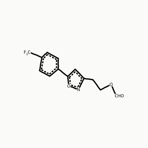 O=COCCc1cc(-c2ccc(C(F)(F)F)cc2)on1